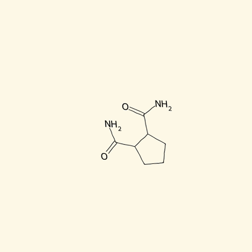 NC(=O)C1CCCC1C(N)=O